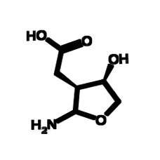 NC1OC[C@H](O)[C@@H]1CC(=O)O